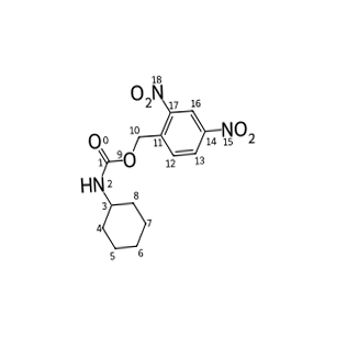 O=C(NC1CCCCC1)OCc1ccc([N+](=O)[O-])cc1[N+](=O)[O-]